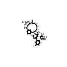 NC[C@H]1Nc2cccc(c2)[C@@H](n2cnc(-c3cc(Cl)ccc3N3C=C(Cl)NN3)cc2=O)CCCCCNC1=O